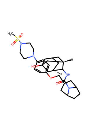 CS(=O)(=O)N1CCN(c2ccc(OCC3CC4CCC(C3)N4C(=O)NC3[C@@H]4CC5C[C@H]3CC(O)(C5)C4)cc2)CC1